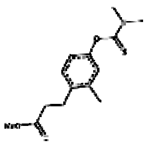 COC(=O)CCc1ccc(OC(=S)N(C)C)cc1C